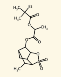 CCC(C)(C)C(=O)OC(C)C(=O)OC1C2CC3C1OS(=O)(=O)C3C2C